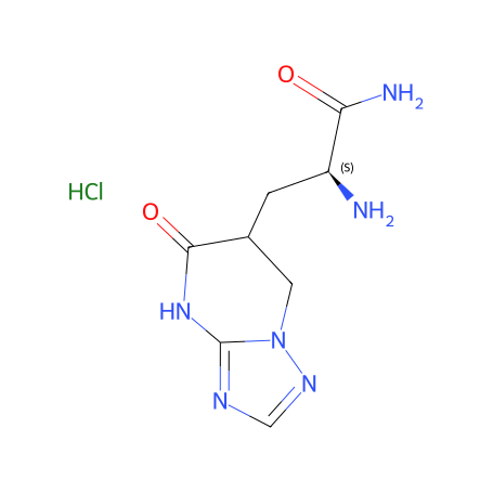 Cl.NC(=O)[C@@H](N)CC1Cn2ncnc2NC1=O